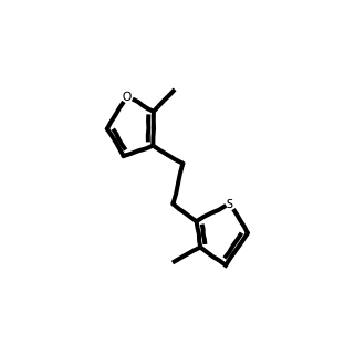 Cc1ccsc1CCc1ccoc1C